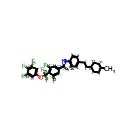 CC1CCC(CCc2ccc3nc(-c4cc(F)c(C(F)(F)Oc5cc(F)c(F)c(F)c5)c(F)c4)sc3c2)CC1